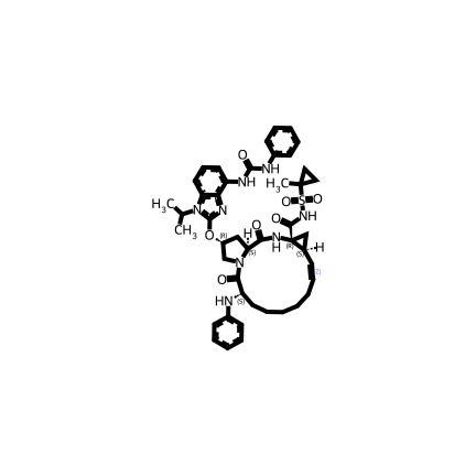 CC(C)n1c(O[C@@H]2C[C@H]3C(=O)N[C@]4(C(=O)NS(=O)(=O)C5(C)CC5)C[C@H]4/C=C\CCCCC[C@H](Nc4ccccc4)C(=O)N3C2)nc2c(NC(=O)Nc3ccccc3)cccc21